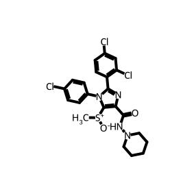 C[S+]([O-])c1c(C(=O)NN2CCCCC2)nc(-c2ccc(Cl)cc2Cl)n1-c1ccc(Cl)cc1